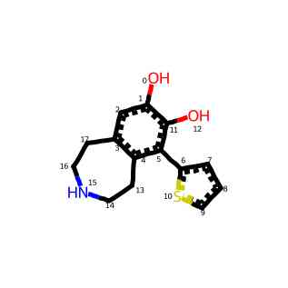 Oc1cc2c(c(-c3cccs3)c1O)CCNCC2